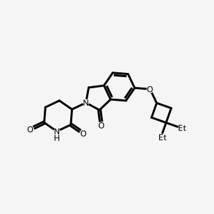 CCC1(CC)CC(Oc2ccc3c(c2)C(=O)N(C2CCC(=O)NC2=O)C3)C1